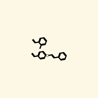 C=Cc1ccccc1.C=Cc1ccccc1C.ClC=Cc1ccccc1